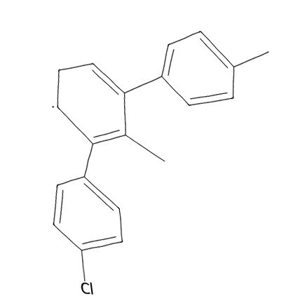 CC1=C(c2ccc(Cl)cc2)[CH]CC=C1c1ccc(C)cc1